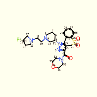 O=C(c1nn([C@H]2CCCN(CCN3CC[C@@H](F)C3)C2)c2c1CS(=O)(=O)c1ccccc1-2)N1CCOCC1